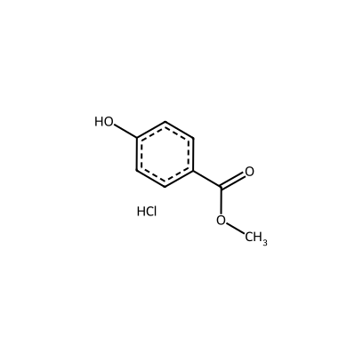 COC(=O)c1ccc(O)cc1.Cl